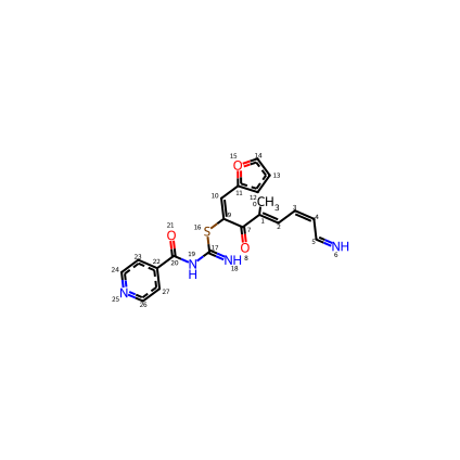 C/C(=C\C=C/C=N)C(=O)/C(=C\c1ccco1)SC(=N)NC(=O)c1ccncc1